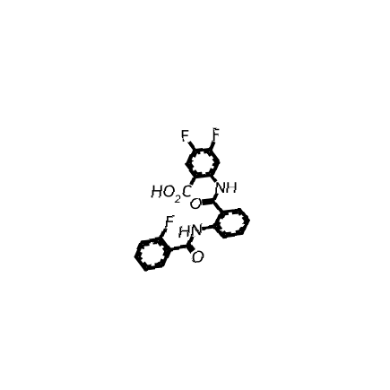 O=C(Nc1ccccc1C(=O)Nc1cc(F)c(F)cc1C(=O)O)c1ccccc1F